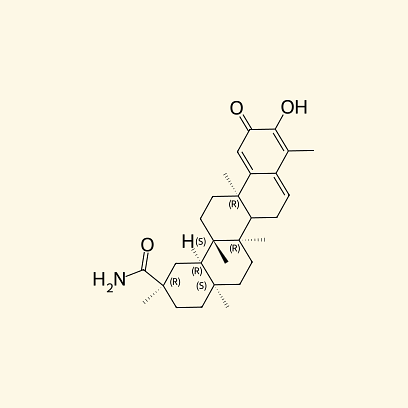 CC1=C(O)C(=O)C=C2C1=CCC1[C@@]2(C)CC[C@@]2(C)[C@@H]3C[C@](C)(C(N)=O)CC[C@]3(C)CC[C@]12C